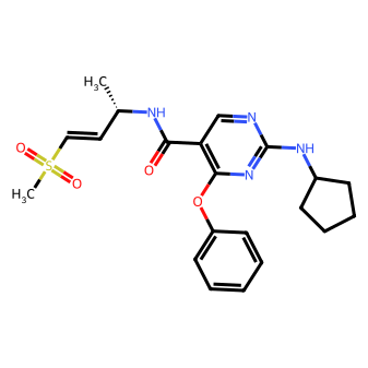 C[C@@H](/C=C/S(C)(=O)=O)NC(=O)c1cnc(NC2CCCC2)nc1Oc1ccccc1